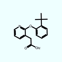 CC(C)(C)c1ccccc1Oc1ncccc1CC(=O)O